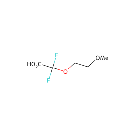 COCCOC(F)(F)C(=O)O